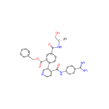 CC(C)[C@@H](CO)NC(=O)c1ccc(-c2cnccc2C(=O)Nc2ccc(C(=N)N)cc2)c(C(=O)OCc2ccccc2)c1